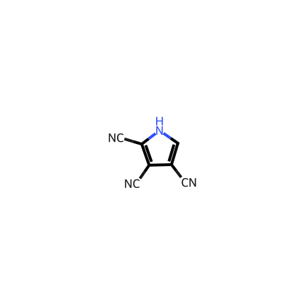 N#Cc1c[nH]c(C#N)c1C#N